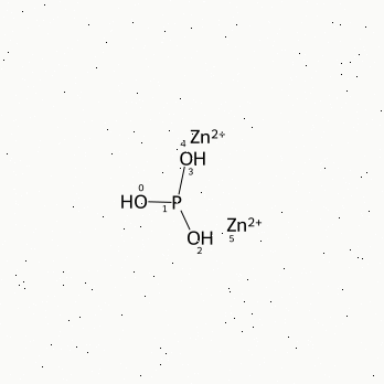 OP(O)O.[Zn+2].[Zn+2]